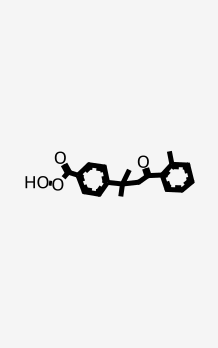 Cc1ccccc1C(=O)CC(C)(C)c1ccc(C(=O)OO)cc1